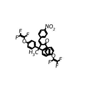 CC(C(=Cc1ccc([N+](=O)[O-])cc1)C(=O)c1ccccc1)(c1ccc(OC(F)=C(F)F)cc1)c1ccc(OC(F)=C(F)F)cc1